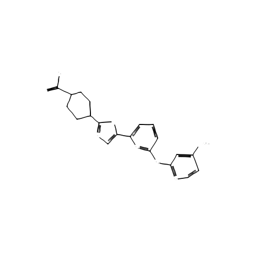 COc1ccnc(Nc2cccc(-c3cnc(C4CCC(C(N)=O)CC4)s3)n2)c1